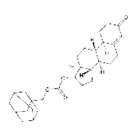 C[C@]12CC[C@H]3[C@@H](CCC4=CC(=O)CC[C@@H]43)[C@@H]1CC[C@@H]2OC(=O)OCC12CC3CC(CC(C3)C1)C2